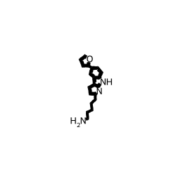 NCCCCCc1ccc2c(n1)[nH]c1ccc(-c3ccco3)cc12